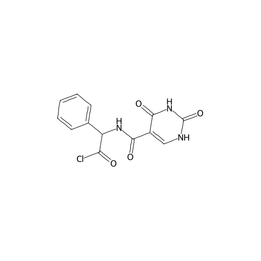 O=C(NC(C(=O)Cl)c1ccccc1)c1c[nH]c(=O)[nH]c1=O